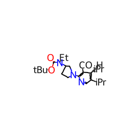 CCN(C(=O)OC(C)(C)C)C1CCN(c2ncc(C(C)C)c(C(C)C)c2C(=O)O)C1